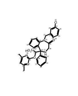 Cc1cc(C)nc(OC(C(=O)O)C2(c3ccccc3)NCC(=O)N(Cc3cccc(Cl)c3)c3ccccc32)n1